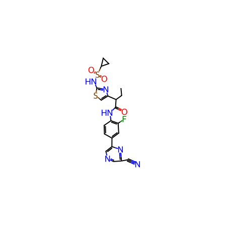 CCC(C(=O)Nc1ccc(-c2cncc(C#N)n2)cc1F)c1csc(NS(=O)(=O)C2CC2)n1